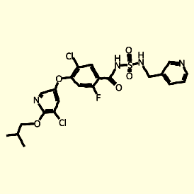 CC(C)COc1ncc(Oc2cc(F)c(C(=O)NS(=O)(=O)NCc3cccnc3)cc2Cl)cc1Cl